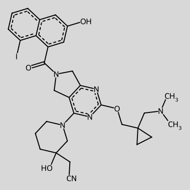 CN(C)CC1(COc2nc3c(c(N4CCCC(O)(CC#N)C4)n2)CN(C(=O)c2cc(O)cc4cccc(I)c24)C3)CC1